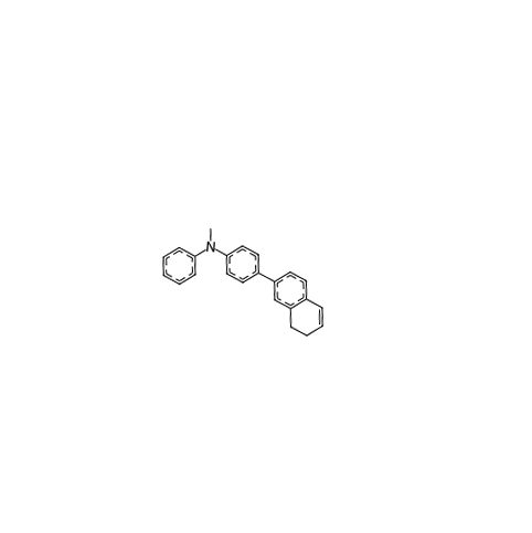 CN(c1ccccc1)c1ccc(-c2ccc3c(c2)CCC=C3)cc1